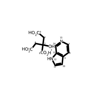 O=C(O)CC(O)(CC(=O)O)C(=O)O.c1cc2cc[nH]c2cn1